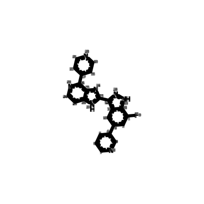 Fc1cc(-c2cccnc2)cc2c(-c3nc4c(-c5ccncc5)nccc4[nH]3)n[nH]c12